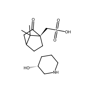 CC1(C)C2CC[C@@]1(CS(=O)(=O)O)C(=O)C2.O[C@@H]1CCCNC1